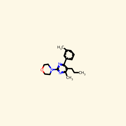 CCCc1c(C)nc(N2CCOCC2)nc1-c1cccc(C)c1